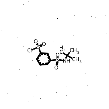 CC(C)(C)NS(=O)(=O)c1cccc(S(=O)(=O)Cl)c1